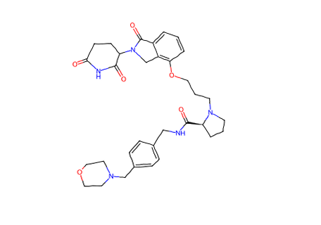 O=C1CCC(N2Cc3c(OCCCN4CCC[C@H]4C(=O)NCc4ccc(CN5CCOCC5)cc4)cccc3C2=O)C(=O)N1